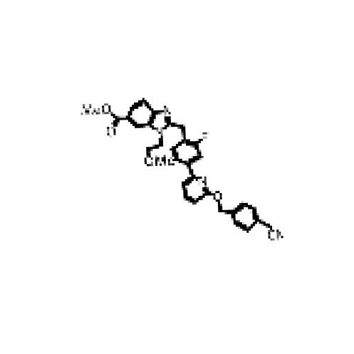 COCCn1c(Cc2ccc(-c3cccc(OCc4ccc(CC#N)cc4)n3)cc2F)nc2ccc(C(=O)OC)cc21